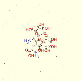 NCC(CC[C@H](N)C(=O)O)O[C@@H]1O[C@H](CO)[C@H](O)[C@H](O)[C@H]1O[C@H]1O[C@H](CO)[C@@H](O)C(O)[C@H]1O